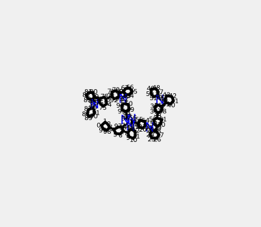 c1ccc(-c2ccc(-c3ccccc3)c(-c3nc(-c4ccc(-n5c6ccccc6c6ccc(-c7ccc8c(c7)c7ccccc7n8-c7ccccc7)cc65)cc4)nc(-c4ccc(-n5c6ccccc6c6ccc(-c7ccc8c(c7)c7ccccc7n8-c7ccccc7)cc65)cc4)n3)c2)cc1